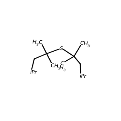 CC(C)CC(C)(C)SC(C)(C)CC(C)C